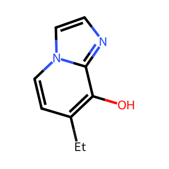 CCc1ccn2ccnc2c1O